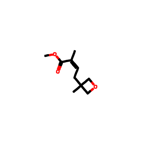 COC(=O)C(C)=CCC1(C)COC1